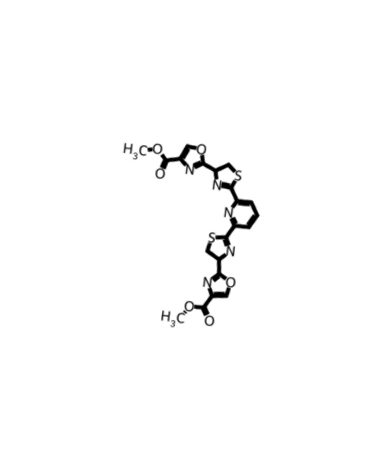 COC(=O)c1coc(C2CSC(c3cccc(C4=NC(c5nc(C(=O)OC)co5)CS4)n3)=N2)n1